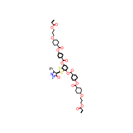 C=CC(=O)OCCCOC1CCC(C(=O)Oc2ccc(C(=O)Oc3ccc(OC(=O)c4ccc(OC(=O)C5CCC(OCCCOC(=O)C=C)CC5)cc4)c4c3SC(=C3C(=O)N(C)N=C3C(C)C)S4)cc2)CC1